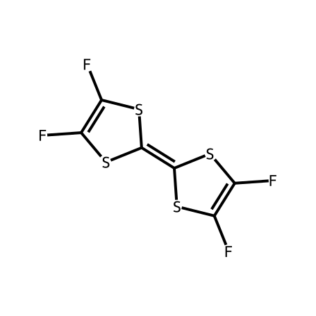 FC1=C(F)SC(=C2SC(F)=C(F)S2)S1